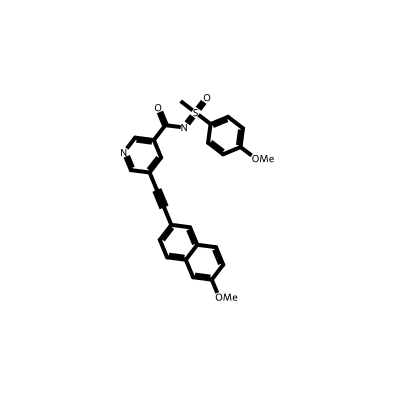 COc1ccc(S(C)(=O)=NC(=O)c2cncc(C#Cc3ccc4cc(OC)ccc4c3)c2)cc1